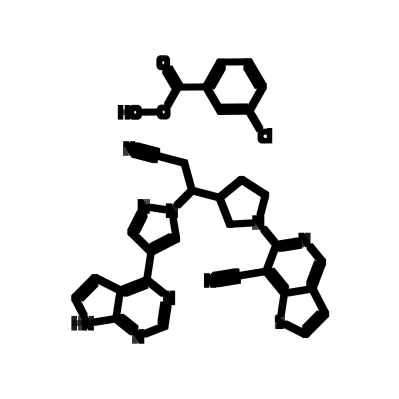 N#CCC(C1CCN(c2ncc3ccsc3c2C#N)C1)n1cc(-c2ncnc3[nH]ccc23)cn1.O=C(OO)c1cccc(Cl)c1